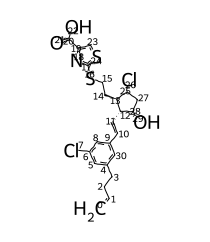 C=CCCc1cc(Cl)cc(/C=C/[C@@H]2[C@@H](CCSc3nc(C(=O)O)cs3)[C@H](Cl)C[C@H]2O)c1